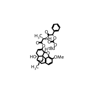 COc1ccc2c3c1O[C@H]1C(OC(=O)[C@H](C)NC(=O)[C@@H](OC(=O)OC(C)(C)C)c4ccccc4)=CC[C@]4(O)C(C2)N(C)CC[C@]314